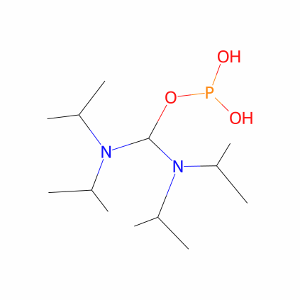 CC(C)N(C(C)C)C(OP(O)O)N(C(C)C)C(C)C